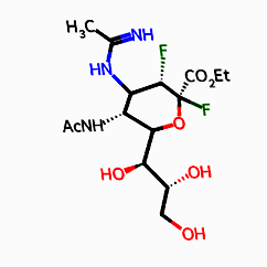 CCOC(=O)[C@]1(F)OC([C@H](O)[C@H](O)CO)[C@H](NC(C)=O)C(NC(C)=N)[C@@H]1F